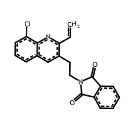 C=Cc1nc2c(Cl)cccc2cc1CCN1C(=O)c2ccccc2C1=O